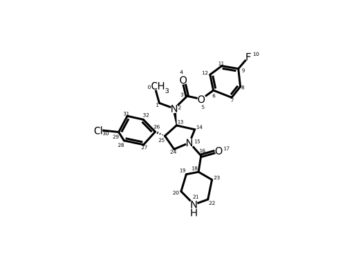 CCN(C(=O)Oc1ccc(F)cc1)[C@H]1CN(C(=O)C2CCNCC2)C[C@@H]1c1ccc(Cl)cc1